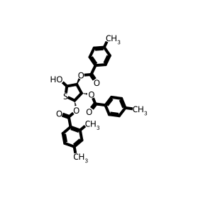 Cc1ccc(C(=O)O[C@@H]2[C@H](OC(=O)c3ccc(C)cc3C)SC(O)[C@H]2OC(=O)c2ccc(C)cc2)cc1